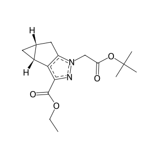 CCOC(=O)c1nn(CC(=O)OC(C)(C)C)c2c1[C@@H]1C[C@@H]1C2